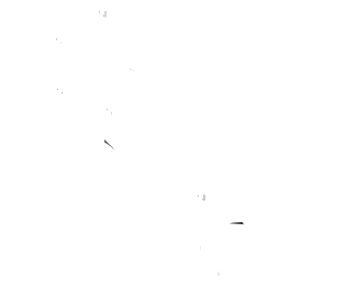 CSCC[C@H](NP1(=O)CO[C@@H](Cn2cnc3c(N)ncnc32)CO1)C(=O)O